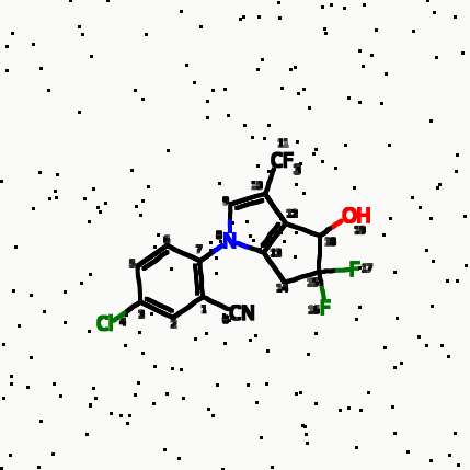 N#Cc1cc(Cl)ccc1-n1cc(C(F)(F)F)c2c1CC(F)(F)C2O